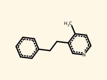 Cc1ccncc1CCc1ccccc1